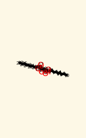 CCCCCCCCCCOC(=O)CC(O)C(=O)OCCCCCCCCCC